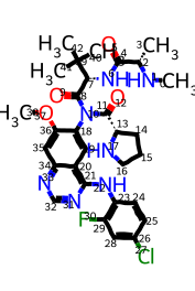 CN[C@@H](C)C(=O)N[C@H](C(=O)N(C(=O)[C@@H]1CCCN1)c1cc2c(Nc3ccc(Cl)cc3F)ncnc2cc1OC)C(C)(C)C